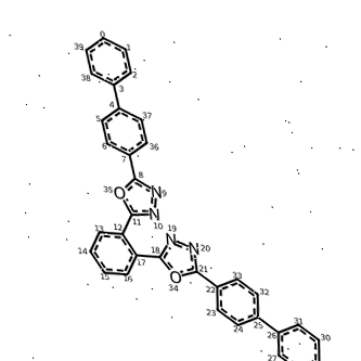 c1ccc(-c2ccc(-c3nnc(-c4ccccc4-c4nnc(-c5ccc(-c6ccccc6)cc5)o4)o3)cc2)cc1